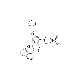 C=CC(=O)N1CCN(c2nc(OC[C@@H]3CCCN3C)nc3c2CC(C)=C(c2cccc4cccc(Cl)c24)O3)CC1